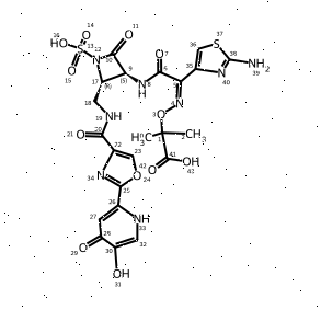 CC(C)(ON=C(C(=O)N[C@@H]1C(=O)N(S(=O)(=O)O)[C@@H]1CNC(=O)c1coc(-c2cc(=O)c(O)c[nH]2)n1)c1csc(N)n1)C(=O)O